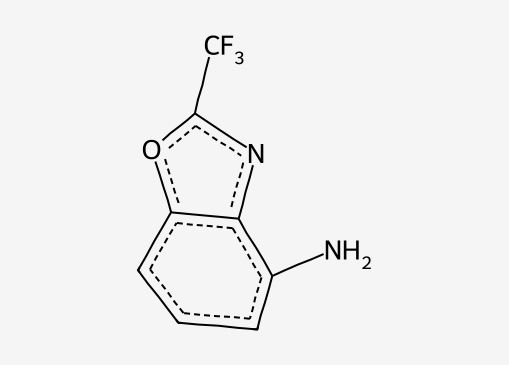 Nc1cccc2oc(C(F)(F)F)nc12